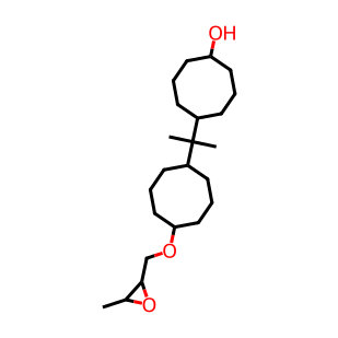 CC1OC1COC1CCCC(C(C)(C)C2CCCC(O)CCC2)CCC1